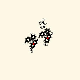 CC(=O)[O-].CC(=O)[O-].COc1cccc(C[P+](c2cccc(C)c2)(c2cccc(C)c2)c2cccc(C)c2)c1.COc1cccc(C[P+](c2cccc(C)c2)(c2cccc(C)c2)c2cccc(C)c2)c1